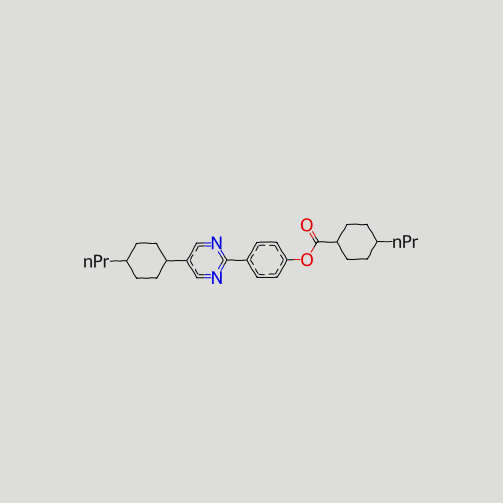 CCCC1CCC(C(=O)Oc2ccc(-c3ncc(C4CCC(CCC)CC4)cn3)cc2)CC1